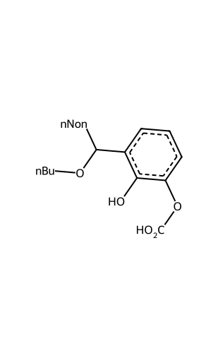 CCCCCCCCCC(OCCCC)c1cccc(OC(=O)O)c1O